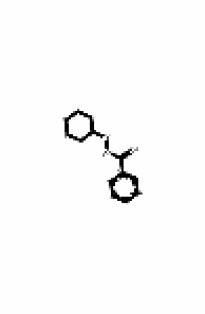 O=C(OOC1CCCCC1)c1ccccc1